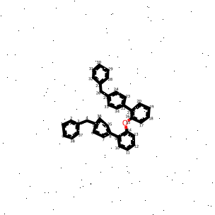 c1ccc(Cc2ccc(-c3ccccc3Oc3ccccc3-c3ccc(Cc4ccccc4)cc3)cc2)cc1